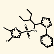 CCC(CC)C(NS(=O)(=O)c1cc(Cl)c(Cl)s1)c1cccn1-c1ccccc1